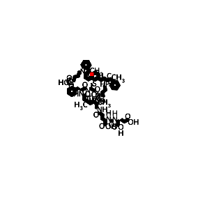 CC(CCC(C)(C)CC(=O)N[C@@H](Cc1ccccc1)C(=O)N[C@H](CSC1=C(/C=C/C2=[PH](CCCCS(=O)(=O)O)c3ccccc3C2(C)C)CCC/C1=C\C=C1\N(CCCCS(=O)(=O)O)c2ccccc2C1(C)C)C(=O)O)CNC(=O)CCC(NC(=O)N[C@@H](CCC(=O)O)C(=O)O)C(=O)O